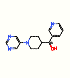 O[C@H](c1cccnc1)C1CCN(c2cncnc2)CC1